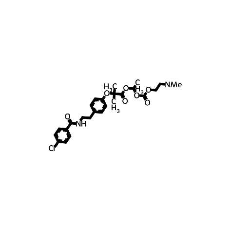 CNCCOC(=O)OC(C)OC(=O)C(C)(C)Oc1ccc(CCNC(=O)c2ccc(Cl)cc2)cc1